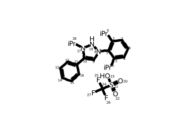 CC(C)c1cccc(C(C)C)c1N1C=C(c2ccccc2)N(C(C)C)N1.O=S(=O)(O)C(F)(F)F